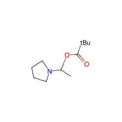 C[C](OC(=O)C(C)(C)C)N1CCCC1